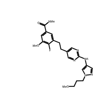 CNC(=O)c1cc(CCc2cnc(Nc3cnn(CCCOC)c3)nc2)c(F)c(OC)c1